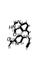 C#CCN(Cc1ccc2nc[nH]c(=O)c2c1)c1ccc(C(C)=O)nc1